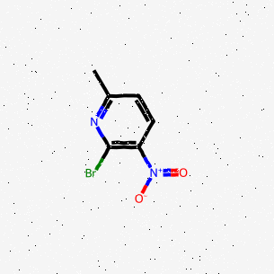 Cc1ccc([N+](=O)[O-])c(Br)n1